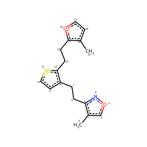 Cc1conc1CCc1ccsc1CCc1occc1C